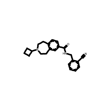 N#Cc1ccccc1CNC(=O)c1ccc2c(c1)CCN(C1CCC1)CC2